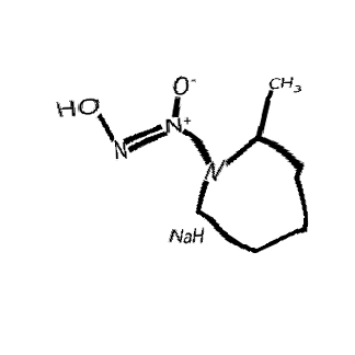 CC1CCCCN1[N+]([O-])=NO.[NaH]